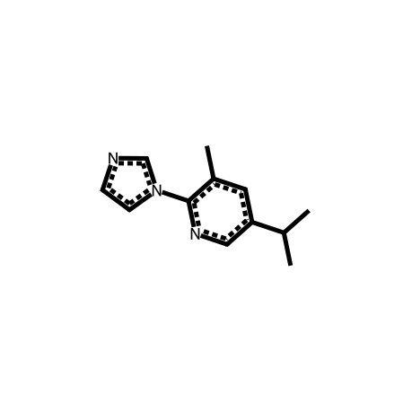 Cc1cc(C(C)C)cnc1-n1ccnc1